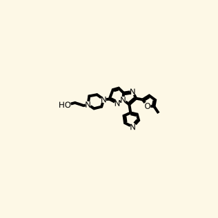 Cc1ccc(-c2nc3ccc(N4CCN(CCO)CC4)nn3c2-c2ccncc2)o1